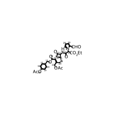 CCOC(=O)C(C(=O)NC1C(=O)N2C(C(=O)OCc3ccc(OC(C)=O)cc3)=C(COC(C)=O)CSC12)n1cccc1C=O